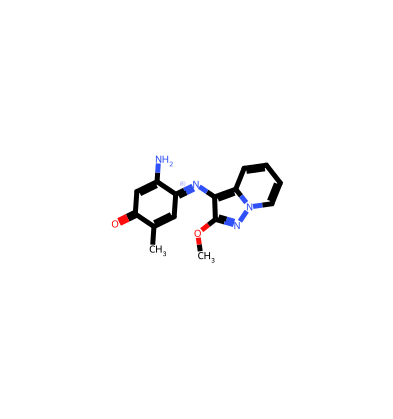 COc1nn2ccccc2c1/N=C1\C=C(C)C(=O)C=C1N